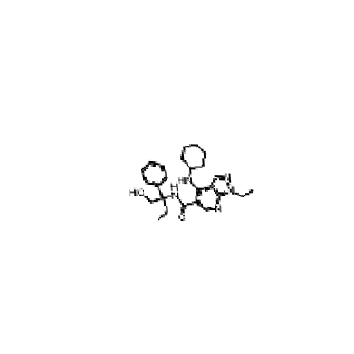 CCn1ncc2c(NC3CCCCC3)c(C(=O)NC(CC)(CO)c3ccccc3)cnc21